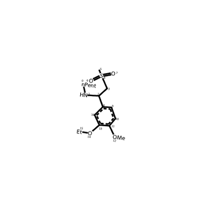 CCCCCNC(CS(C)(=O)=O)c1ccc(OC)c(OCC)c1